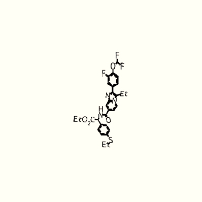 CCOC(=O)C(NC(=O)c1ccn2c(CC)c(-c3ccc(OC(F)F)c(F)c3)nc2c1)c1ccc(SCC)cc1